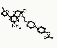 Cc1ccc(-c2nc(N)nc3c2ncc(=O)n3CCN2CCN(c3ccc(OC(F)F)cc3)CC2)o1